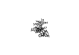 CC(=O)NCC(CO)(CO[C@@H]1OC(CO)C(O)[C@H](O)C1OC1OC(C)[C@@H](O)C(O)[C@@H]1O)CO[C@H]1C(O)C(CO)O[C@@H](O)C1O